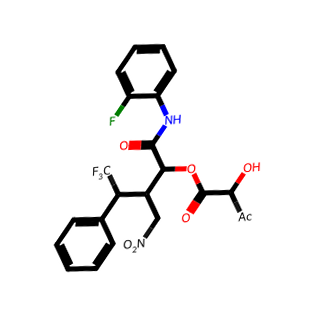 CC(=O)C(O)C(=O)OC(C(=O)Nc1ccccc1F)C(C[N+](=O)[O-])C(c1ccccc1)C(F)(F)F